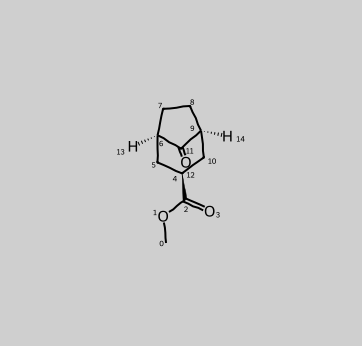 COC(=O)[C@H]1C[C@H]2CC[C@@H](C1)C2=O